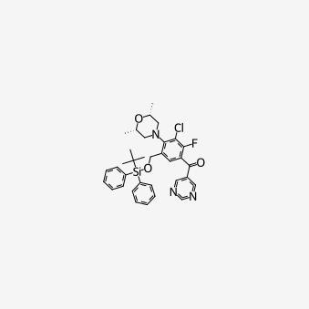 C[C@@H]1CN(c2c(CO[Si](c3ccccc3)(c3ccccc3)C(C)(C)C)cc(C(=O)c3cncnc3)c(F)c2Cl)C[C@H](C)O1